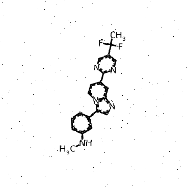 CNc1cccc(-c2cnc3cc(-c4ncc(C(C)(F)F)cn4)ccn23)c1